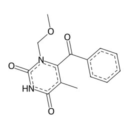 COCn1c(C(=O)c2ccccc2)c(C)c(=O)[nH]c1=O